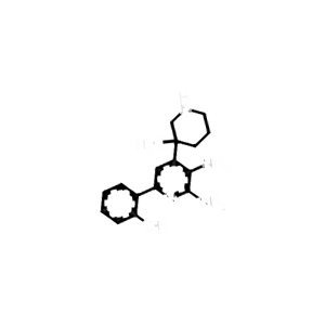 CC1(c2cc(-c3ccccc3O)nc(N)c2N)CCCNC1